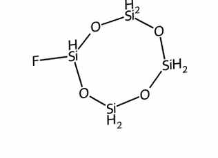 F[SiH]1O[SiH2]O[SiH2]O[SiH2]O1